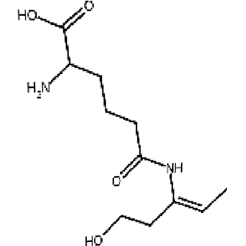 CC=C(CCO)NC(=O)CCCC(N)C(=O)O